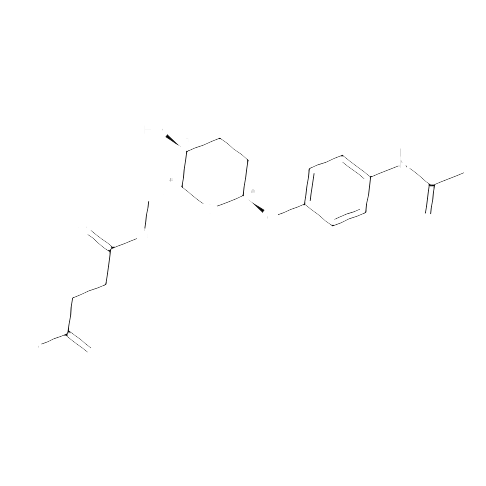 CC(=O)Nc1ccc(O[C@@H]2CC[C@H](O)[C@@H](COC(=O)CCC(=O)O)O2)cc1